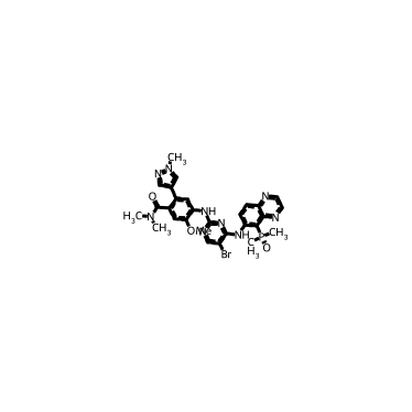 COc1cc(C(=O)N(C)C)c(-c2cnn(C)c2)cc1Nc1ncc(Br)c(Nc2ccc3nccnc3c2P(C)(C)=O)n1